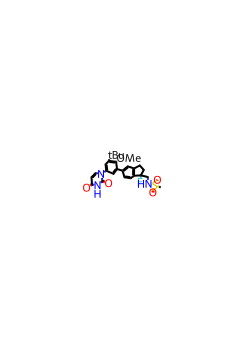 COc1c(-c2ccc3c(c2)CCC3(F)CNS(C)(=O)=O)cc(-n2ccc(=O)[nH]c2=O)cc1C(C)(C)C